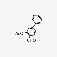 CC(=O)Oc1cc(-c2ccccc2)ccc1C=O